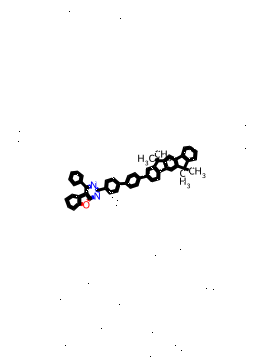 CC1(C)c2ccccc2-c2cc3c(cc21)-c1ccc(-c2ccc(-c4ccc(-c5nc(-c6ccccc6)c6c(n5)oc5ccccc56)cc4)cc2)cc1C3(C)C